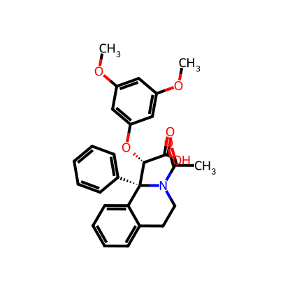 COc1cc(OC)cc(O[C@H](C(=O)O)[C@]2(c3ccccc3)c3ccccc3CCN2C(C)=O)c1